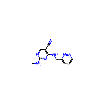 CNc1ncc(C#N)c(NCc2cccnn2)n1